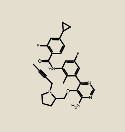 CC#CCN1CCCC1COc1c(N)ncnc1-c1cc(F)cc(NC(=O)c2ccc(C3CC3)cc2F)c1C